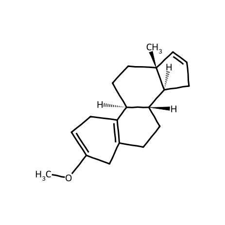 COC1=CCC2=C(CC[C@@H]3[C@@H]2CC[C@]2(C)C=CC[C@@H]32)C1